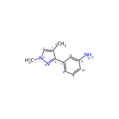 Cc1cn(C)nc1-c1cccc(N)c1